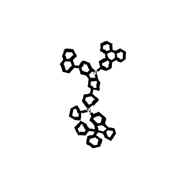 c1ccc(N(c2ccc(-c3ccc4c(c3)c3cc(-c5cccc6ccccc56)ccc3n4-c3ccc4c5ccccc5c5ccccc5c4c3)cc2)c2ccc3c(c2)C(c2ccccc2)(c2ccccc2)c2ccccc2-3)cc1